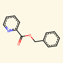 O=C(OCc1ccccc1)c1[c]cccn1